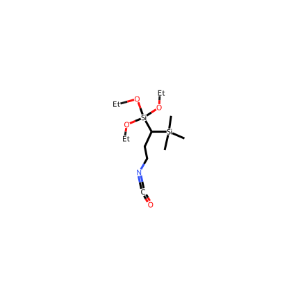 CCO[Si](OCC)(OCC)C(CCN=C=O)[Si](C)(C)C